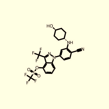 N#Cc1ccc(-n2nc(C(F)(F)F)c3c(OS(=O)(=O)C(F)(F)F)cccc32)cc1N[C@H]1CC[C@H](O)CC1